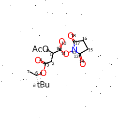 CC(=O)OC(CC(=O)O[C@@H](C)C(C)(C)C)C(=O)ON1C(=O)CCC1=O